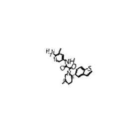 Cc1cc(NC(=O)C(=O)N2C[C@H](C)CC[C@H]2c2ccc3sccc3c2)cnc1N